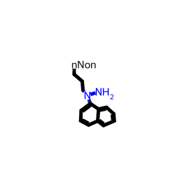 CCCCCCCCCCCCN(N)c1cccc2ccccc12